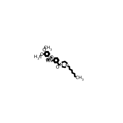 CCCCCCCN1CCCN(C(=O)c2cccc(NS(=O)(=O)c3ccc(OC)c(OC)c3)c2)CC1